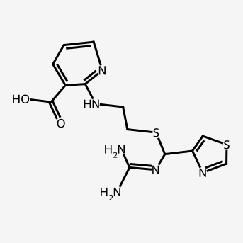 NC(N)=NC(SCCNc1ncccc1C(=O)O)c1cscn1